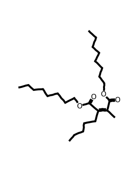 CCCCCCCCOC(=O)C(C)=C(CCCCC)C(=O)OCCCCCCCC